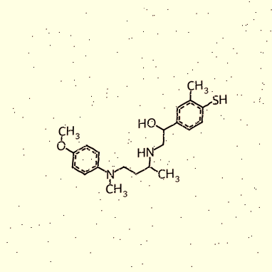 COc1ccc(N(C)CCC(C)NCC(O)c2ccc(S)c(C)c2)cc1